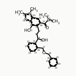 Cc1nc2c(O)c(CCC(O)c3ccccc3COCc3ccccc3)c(C(=O)N(C)C)cc2n1C